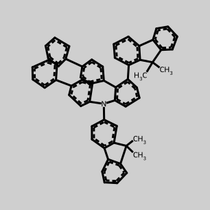 CC1(C)c2ccccc2-c2ccc(N(c3ccc(-c4ccccc4)cc3)c3cccc(-c4cccc5c4C(C)(C)c4ccccc4-5)c3-c3ccc(-c4ccccc4)cc3)cc21